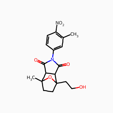 Cc1cc(N2C(=O)C3C(C2=O)C2(CCO)CCC3(C)O2)ccc1[N+](=O)[O-]